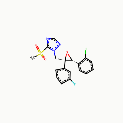 CS(=O)(=O)c1ncnn1C[C@]1(c2cccc(F)c2)O[C@@H]1c1ccccc1Cl